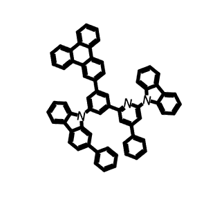 c1ccc(-c2cc(-c3cc(-c4ccc5c6ccccc6c6ccccc6c5c4)cc(-n4c5ccccc5c5ccc(-c6ccccc6)cc54)c3)nc(-n3c4ccccc4c4ccccc43)c2)cc1